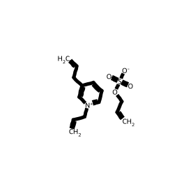 C=CCOS(=O)(=O)[O-].C=CCc1ccc[n+](CC=C)c1